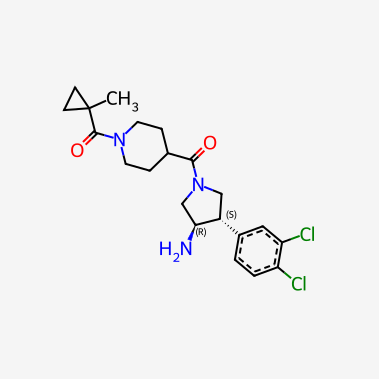 CC1(C(=O)N2CCC(C(=O)N3C[C@H](c4ccc(Cl)c(Cl)c4)[C@@H](N)C3)CC2)CC1